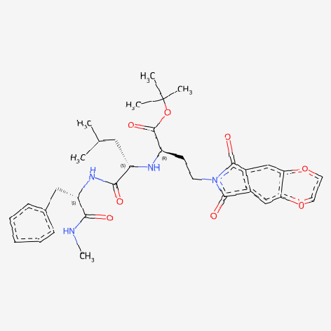 CNC(=O)[C@H](Cc1ccccc1)NC(=O)[C@H](CC(C)C)N[C@H](CCn1c(=O)c2cc3occoc3cc2c1=O)C(=O)OC(C)(C)C